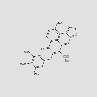 COc1cc(C/C(C(=O)c2ccc(SC)cc2)=C(\C(=O)[O-])c2ccc3nsnc3c2)cc(OC)c1OC.[Na+]